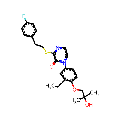 CCc1cc(-n2ccnc(SCCc3ccc(F)cc3)c2=O)ccc1OCC(C)(C)O